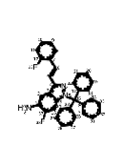 Nc1cc2c(C=Cc3ccccc3F)nn(C(c3ccccc3)(c3ccccc3)c3ccccc3)c2cc1F